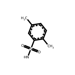 Cc1ccc(C)c(S([NH])(=O)=O)c1